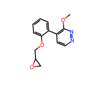 COc1nnccc1-c1ccccc1OCC1CO1